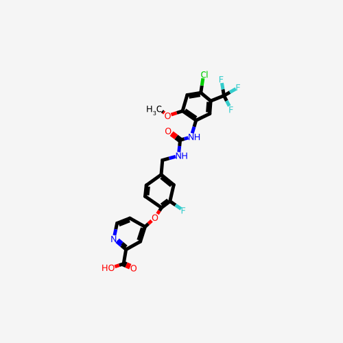 COc1cc(Cl)c(C(F)(F)F)cc1NC(=O)NCc1ccc(Oc2ccnc(C(=O)O)c2)c(F)c1